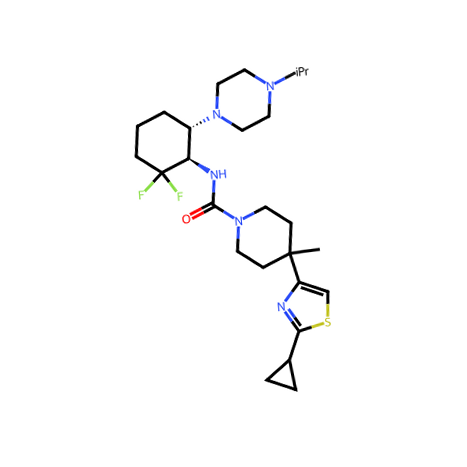 CC(C)N1CCN([C@H]2CCCC(F)(F)[C@@H]2NC(=O)N2CCC(C)(c3csc(C4CC4)n3)CC2)CC1